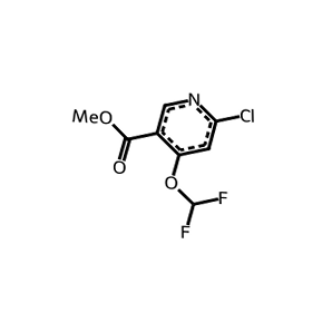 COC(=O)c1cnc(Cl)cc1OC(F)F